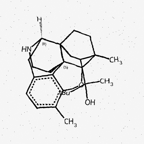 Cc1ccc2c3c1OC1C4(C)CCC5(CC4C(C)(O)C(C)(C)C)[C@@H](C2)NCC[C@]315